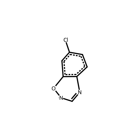 Clc1ccc2c(c1)O[N]C=N2